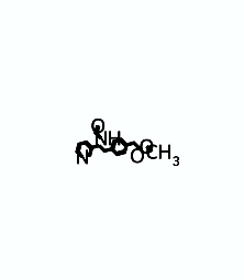 COC(=O)Cc1ccc(CC(NC=O)c2cccnc2)cc1